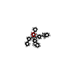 c1ccc(-c2ccc(N(c3cccc(-c4ccccc4)c3)c3cc4sc5ccccc5c4cc3N(c3ccccc3)c3ccc(-c4nc5ccccc5s4)cc3)cc2)cc1